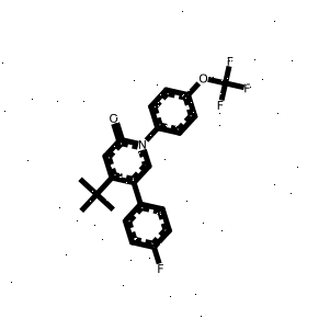 CC(C)(C)c1cc(=O)n(-c2ccc(OC(F)(F)F)cc2)cc1-c1ccc(F)cc1